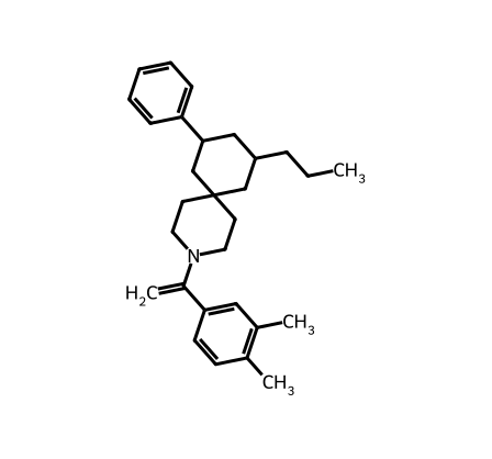 C=C(c1ccc(C)c(C)c1)N1CCC2(CC1)CC(CCC)CC(c1ccccc1)C2